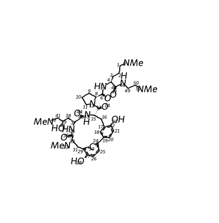 CNCCC[C@H](NC(=O)[C@@H]1CCCN1C(=O)[C@@H]1Cc2cc(ccc2O)-c2ccc(O)c(c2)C[C@H](NC)C(=O)N[C@@H](C[C@@H](O)CNC)C(=O)N1)C(=O)NCCNC